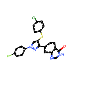 O=c1[nH]cnc2cc(-c3nn(-c4ccc(F)cc4)cc3Sc3ccc(Cl)cc3)ccc12